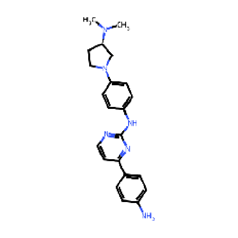 CN(C)[C@@H]1CCN(c2ccc(Nc3nccc(-c4ccc(N)cc4)n3)cc2)C1